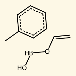 C=COBO.Cc1ccccc1